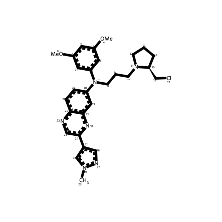 COc1cc(OC)cc(N(CCCN2CCC[C@H]2CCl)c2ccc3ncc(-c4cnn(C)c4)nc3c2)c1